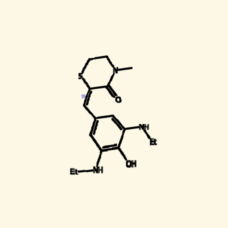 CCNc1cc(/C=C2/SCCN(C)C2=O)cc(NCC)c1O